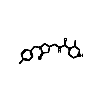 Cc1ccc(CN2CC(CNC(=O)N3CCNCC3C)CC2=O)cc1